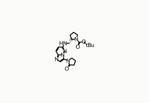 CC(C)(C)OC(=O)N1CCC[C@H]1CNc1ccc2ncc(N3CCCC3=O)n2n1